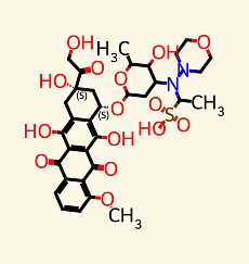 COc1cccc2c1C(=O)c1c(O)c3c(c(O)c1C2=O)C[C@@](O)(C(=O)CO)C[C@@H]3OC1CC(N(C(C)S(=O)(=O)O)N2CCOCC2)C(O)C(C)O1